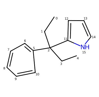 CCC(CC)(c1ccccc1)c1ccc[nH]1